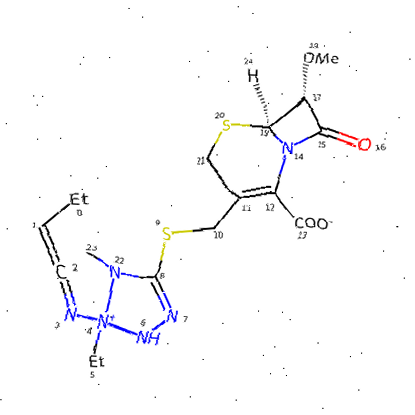 CCC=C=N[N+]1(CC)NN=C(SCC2=C(C(=O)[O-])N3C(=O)[C@@H](OC)[C@@H]3SC2)N1C